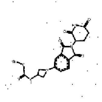 CC(C)(C)OC(=O)NC1CN(c2ccc3c(c2)C(=O)N(C2CCC(=O)NC2=O)C3=O)C1